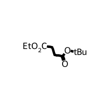 CCOC(=O)CCC(=O)OC(C)(C)C